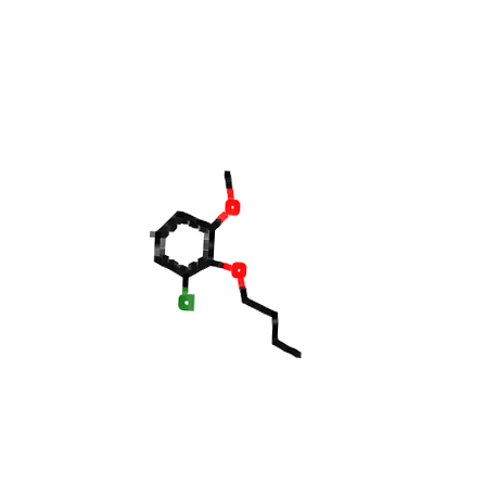 CCCCOc1c(Cl)c[c]cc1OC